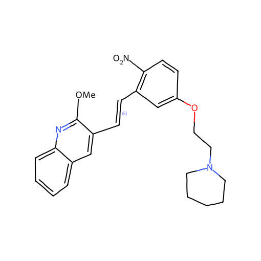 COc1nc2ccccc2cc1/C=C/c1cc(OCCN2CCCCC2)ccc1[N+](=O)[O-]